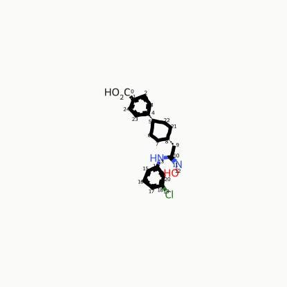 O=C(O)c1ccc([C@H]2CC[C@@H](C/C(=N/O)Nc3cccc(Cl)c3)CC2)cc1